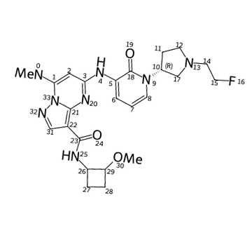 CNc1cc(Nc2cccn([C@@H]3CCN(CCF)C3)c2=O)nc2c(C(=O)NC3CCC3OC)cnn12